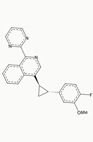 COc1cc([C@@H]2C[C@H]2c2cnc(-c3ncccn3)c3ccccc23)ccc1F